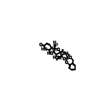 BC(B)(OP1(=O)OCc2ccccc2O1)[C@@]1(F)O[C@@](B)(n2ccc(=O)[nH]c2=S)[C@H](O)[C@@H]1O